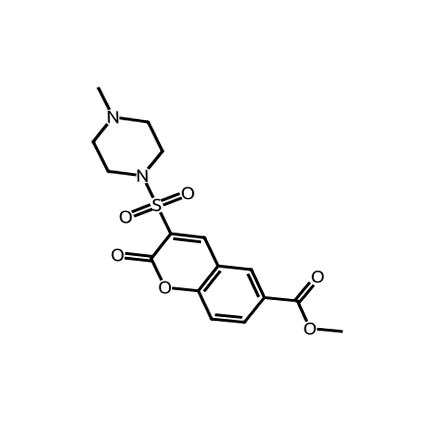 COC(=O)c1ccc2oc(=O)c(S(=O)(=O)N3CCN(C)CC3)cc2c1